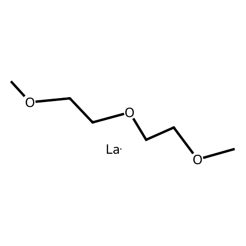 COCCOCCOC.[La]